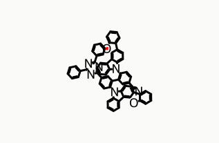 N#Cc1ccc(-n2c3ccccc3c3c4oc5ccccc5c4ccc32)c(-c2cc(-c3nc(-c4ccccc4)nc(-c4ccccc4)n3)ccc2-n2c3ccccc3c3c4oc5ccccc5c4ccc32)c1